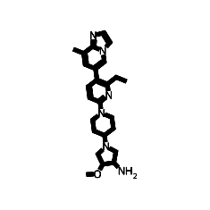 CCc1nc(N2CCC(N3CC(N)C(OC)C3)CC2)ccc1-c1cc(C)c2nccn2c1